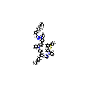 c1ccc(-c2ccc(-c3cccc(-c4ccnc(-n5c6ccccc6c6ccc(-c7ccc8c(c7)c7ccccc7n8-c7ccc(-c8cc(-c9ccc(-c%10ccccc%10)cc9)cc(-c9ccnc(-n%10c%11ccccc%11c%11cc(-c%12cccc%13c%12sc%12ccccc%12%13)ccc%11%10)n9)c8)cc7)cc65)n4)c3)cc2)cc1